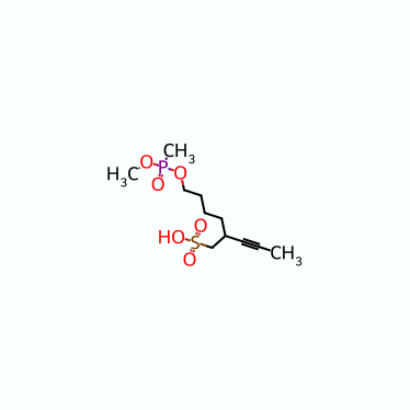 CC#CC(CCCCOP(C)(=O)OC)CS(=O)(=O)O